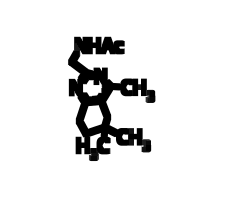 CC(=O)NCc1nc(C)c2c(n1)CCC(C)(C)C2